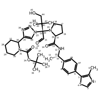 Cc1ncsc1-c1ccc([C@H](C)NC(=O)[C@@H]2CCCN2[C@](C=O)(n2cc(C3CCCCN3C(=O)OC(C)(C)C)nn2)C(C)(C)CO)cc1